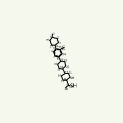 CC1CCC(c2ccc(C3CCC(C4CCC(C(C)S)CC4)CC3)cc2F)CC1